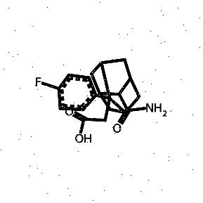 NC(=O)C1C2CC3CC1CC(C2)C3(CC(=O)O)c1ccc(F)cc1